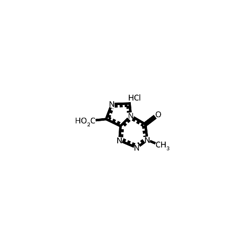 Cl.Cn1nnc2c(C(=O)O)ncn2c1=O